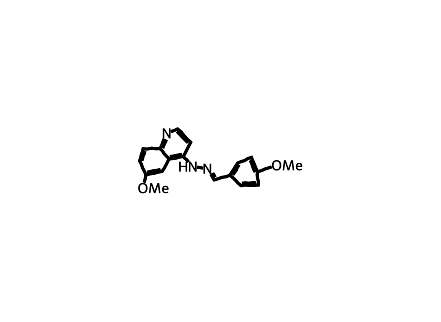 COc1ccc(C=NNc2ccnc3ccc(OC)cc23)cc1